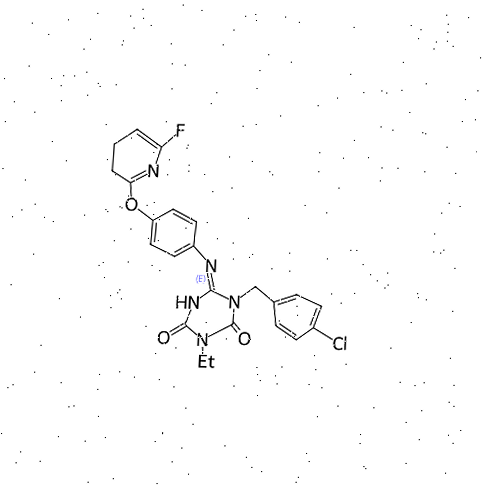 CCn1c(=O)[nH]/c(=N\c2ccc(OC3=NC(F)=CCC3)cc2)n(Cc2ccc(Cl)cc2)c1=O